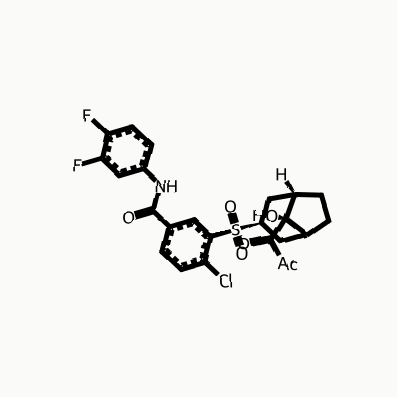 CC(=O)C(=O)[C@@]1(O)C2CC[C@H]1C[C@H](S(=O)(=O)c1cc(C(=O)Nc3ccc(F)c(F)c3)ccc1Cl)C2